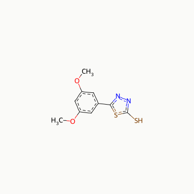 COc1cc(OC)cc(-c2nnc(S)s2)c1